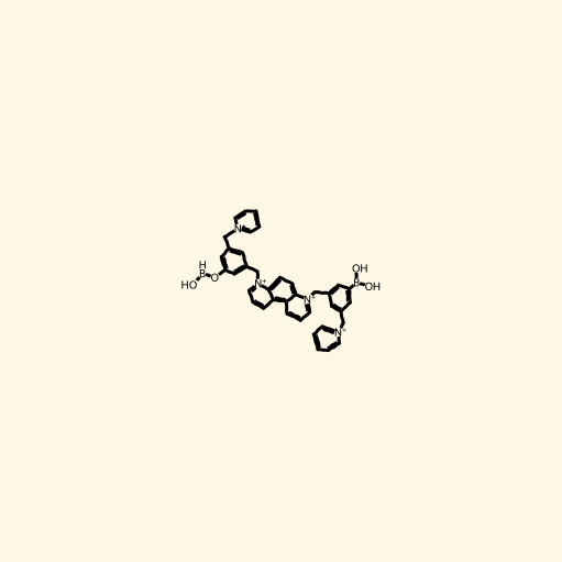 OBOc1cc(C[n+]2ccccc2)cc(C[n+]2cccc3c4ccc[n+](Cc5cc(C[n+]6ccccc6)cc(B(O)O)c5)c4ccc32)c1